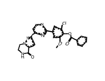 COc1cc(-c2nccc(-c3cc4n(n3)CCNC4=O)n2)cc(Cl)c1OC(=O)c1ccccc1